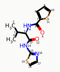 CC(C)[C@@H](NC(=O)c1cccs1)C(=O)Nc1nccs1